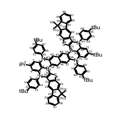 CC(C)c1cc2c3c(c1)N(c1ccc(C(C)(C)C)cc1)c1c(sc4cc5c(cc14)-c1ccccc1C5(C)C)B3c1cc3cc4c(cc3cc1N2c1ccc(C(C)(C)C)cc1)B1c2sc3cc5c(cc3c2N(c2ccc(C(C)(C)C)cc2)c2cc(C(C)(C)C)cc(c21)N4c1ccc(C(C)(C)C)cc1)-c1ccccc1C5(C)C